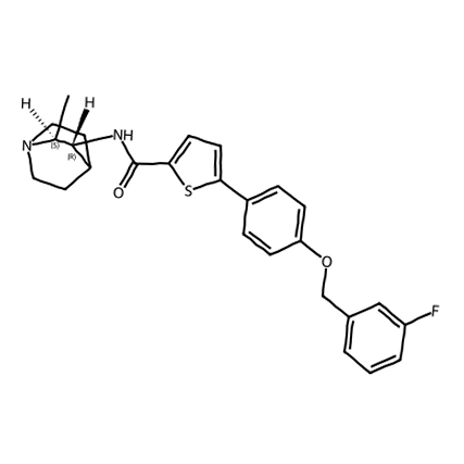 C[C@H]1[C@H](NC(=O)c2ccc(-c3ccc(OCc4cccc(F)c4)cc3)s2)C2CCN1CC2